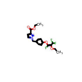 CCOC(=O)c1ccn(Cc2ccc(O/C(F)=C(/OCC)C(F)F)cc2)n1